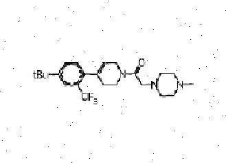 CN1CCN(CC(=O)N2CC=C(c3ccc(C(C)(C)C)cc3C(F)(F)F)CC2)CC1